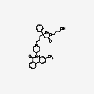 CCC(CCCN1CCC(NC(=O)c2ccccc2-c2ccc(C(F)(F)F)cc2)CC1)(CC(=O)OCCCO)c1ccccc1